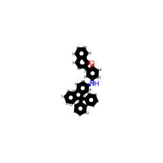 c1ccc(C2(c3ccccc3)c3ccccc3-c3ccc(Nc4ccc5oc6c7ccccc7ccc6c5c4)cc32)cc1